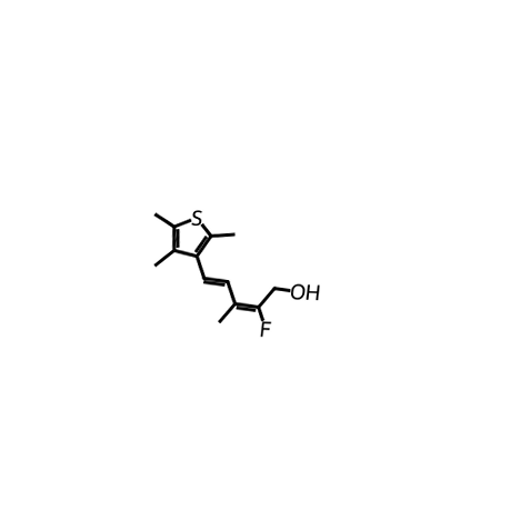 CC(/C=C/c1c(C)sc(C)c1C)=C(\F)CO